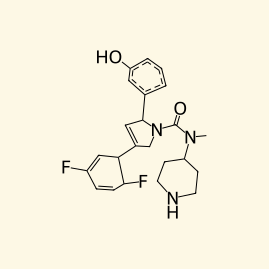 CN(C(=O)N1CC(C2C=C(F)C=CC2F)=CC1c1cccc(O)c1)C1CCNCC1